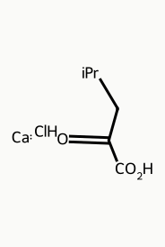 CC(C)CC(=O)C(=O)O.Cl.[Ca]